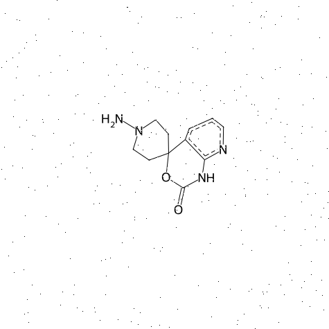 NN1CCC2(CC1)OC(=O)Nc1ncccc12